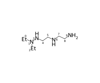 CCN(CC)NCCNCCN